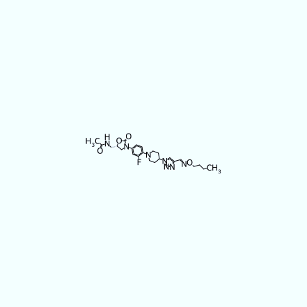 CCCCON=Cc1cn(C2CCN(c3ccc(N4C[C@H](CNC(C)=O)OC4=O)cc3F)CC2)nn1